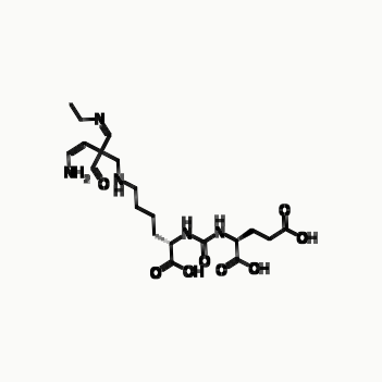 CC/N=C\C(C=O)(/C=C\N)CNCCCC[C@H](NC(=O)N[C@@H](CCC(=O)O)C(=O)O)C(=O)O